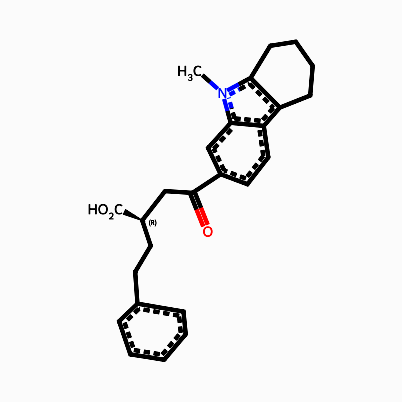 Cn1c2c(c3ccc(C(=O)C[C@@H](CCc4ccccc4)C(=O)O)cc31)CCCC2